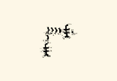 CCN.CCN.CCN.CCN.CCN.O=C([O-])C(F)(F)C(F)(F)CF.O=C([O-])C(F)(F)C(F)(F)CF.[Cl][Co+2]